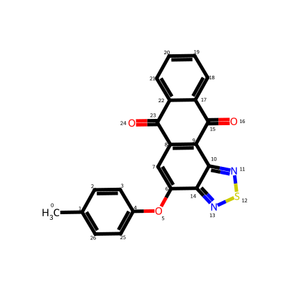 Cc1ccc(Oc2cc3c(c4nsnc24)C(=O)c2ccccc2C3=O)cc1